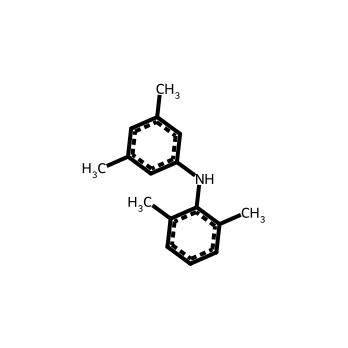 Cc1cc(C)cc(Nc2c(C)cccc2C)c1